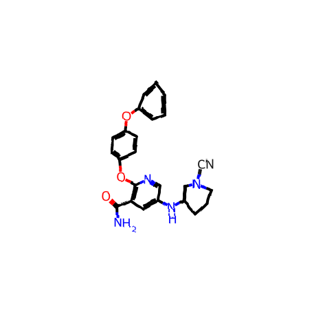 N#CN1CCCC(Nc2cnc(Oc3ccc(Oc4ccccc4)cc3)c(C(N)=O)c2)C1